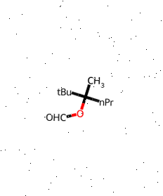 CCCC(C)(O[C]=O)C(C)(C)C